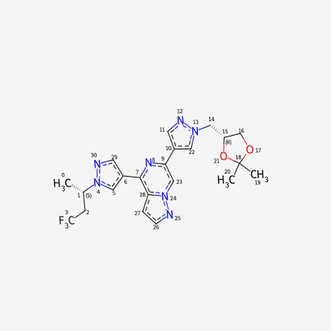 C[C@@H](CC(F)(F)F)n1cc(-c2nc(-c3cnn(C[C@@H]4COC(C)(C)O4)c3)cn3nccc23)cn1